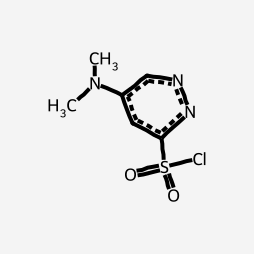 CN(C)c1cnnc(S(=O)(=O)Cl)c1